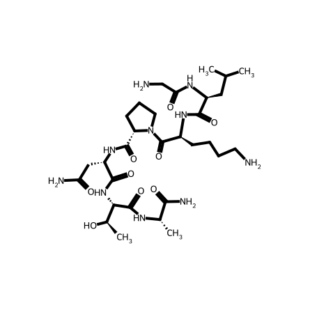 CC(C)C[C@H](NC(=O)CN)C(=O)N[C@@H](CCCCN)C(=O)N1CCC[C@H]1C(=O)N[C@@H](CC(N)=O)C(=O)N[C@H](C(=O)N[C@@H](C)C(N)=O)[C@@H](C)O